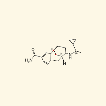 C[C@@H](NC1CC[C@]23CCCCC2[C@H]1Cc1ccc(C(N)=O)cc13)C1CC1